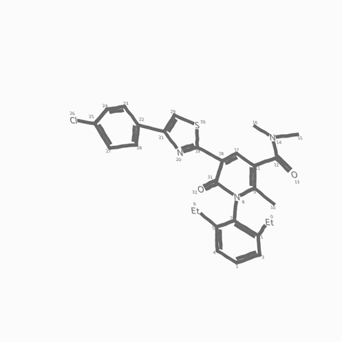 CCc1cccc(CC)c1-n1c(C)c(C(=O)N(C)C)cc(-c2nc(-c3ccc(Cl)cc3)cs2)c1=O